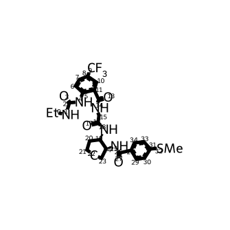 CCNC(=O)Nc1ccc(C(F)(F)F)cc1C(=O)NCC(=O)N[C@@H]1CCCC[C@@H]1NC(=O)c1ccc(SC)cc1